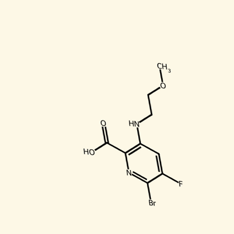 COCCNc1cc(F)c(Br)nc1C(=O)O